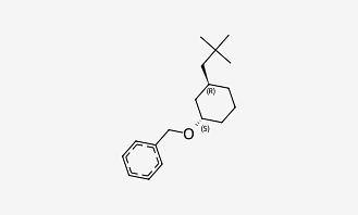 CC(C)(C)C[C@H]1CCC[C@H](OCc2ccccc2)C1